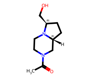 CC(=O)N1CCN2[C@H](CC[C@@H]2CO)C1